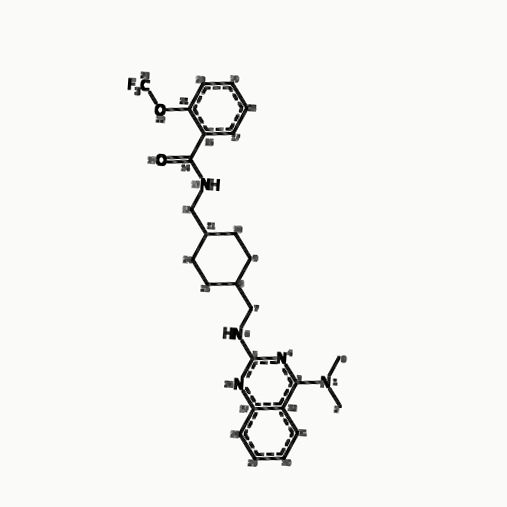 CN(C)c1nc(NCC2CCC(CNC(=O)c3ccccc3OC(F)(F)F)CC2)nc2ccccc12